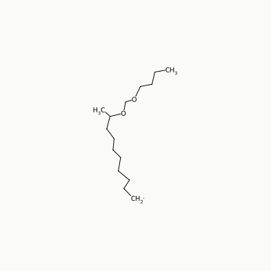 [CH2]CCCCCCCC(C)OCOCCCC